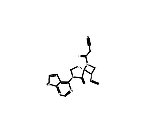 C=C[C@@H]1CN(C(=O)CC#N)[C@@]12CCN(c1ncnc3[nH]ccc13)C2=C